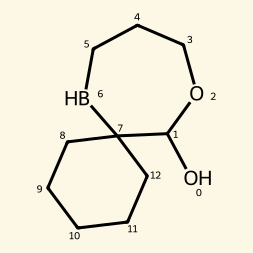 OC1OCCCBC12CCCCC2